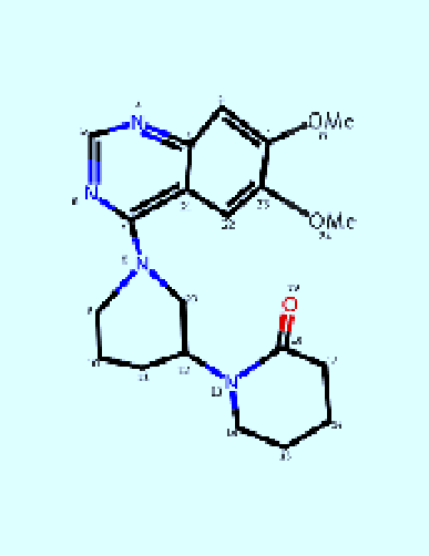 COc1cc2ncnc(N3CCCC(N4CCCCC4=O)C3)c2cc1OC